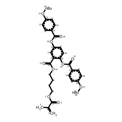 C=C(C)C(=O)OCCCCOC(=O)c1cc(OC(=O)c2ccc(OCCCC)cc2)ccc1OC(=O)c1ccc(OCCCC)cc1